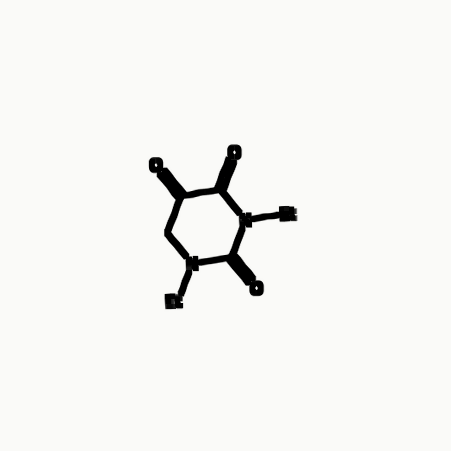 CCN1CC(=O)C(=O)N(CC)C1=O